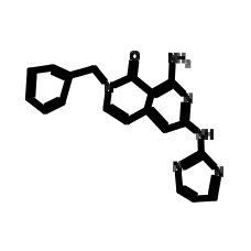 Nc1nc(Nc2ncccn2)cc2ccn(Cc3ccccc3)c(=O)c12